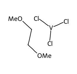 COCCOC.[Cl][V]([Cl])[Cl]